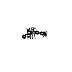 CS(=O)(=O)c1ccc(-c2ccc([C@H](NC(CC3CC3)C(=O)N[C@H](C#N)Cc3ccccc3)C(F)(F)F)cc2)cc1